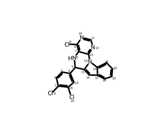 Clc1ccc(C2Nc3c(Cl)ncnc3-n3c2cc2ccccc23)cc1Cl